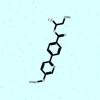 CCCCCCCOc1ccc(-c2ccc(C(=O)OC(COC)C(F)(F)F)cc2)nc1